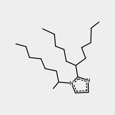 CCCCCCC(C)n1ccnc1C(CCCCC)CCCCC